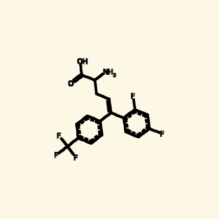 NC(C/C=C(\c1ccc(C(F)(F)F)cc1)c1ccc(F)cc1F)C(=O)O